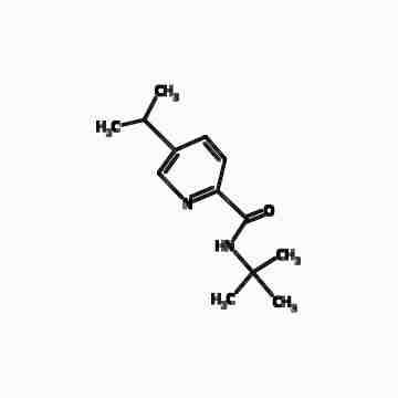 CC(C)c1ccc(C(=O)NC(C)(C)C)nc1